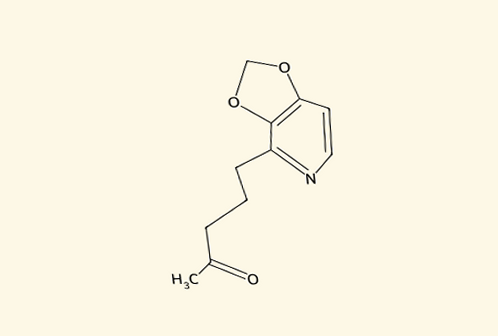 CC(=O)CCCc1nccc2c1OCO2